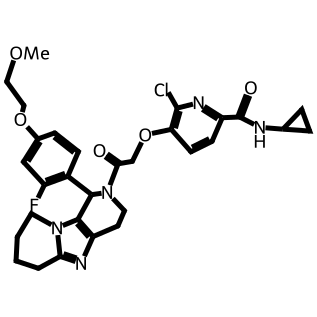 COCCOc1ccc(C2c3c(nc4n3CCCC4)CCN2C(=O)COc2ccc(C(=O)NC3CC3)nc2Cl)c(F)c1